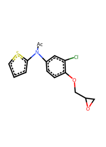 CC(=O)N(c1ccc(OCC2CO2)c(Cl)c1)c1cccs1